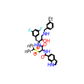 CCCC(CCC)S(=O)(=O)CC(NC(=O)c1ccc2cc[nH]c2c1)C(=O)N[C@@H](Cc1cc(F)cc(F)c1)[C@H](O)CNCc1cccc(CC)c1